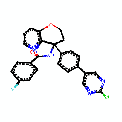 O=C(NC1(c2ccc(-c3cnc(Cl)nc3)cc2)CCOc2cccnc21)c1ccc(F)cc1